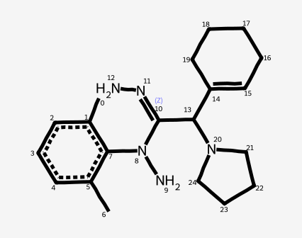 Cc1cccc(C)c1N(N)/C(=N\N)C(C1=CCCCC1)N1CCCC1